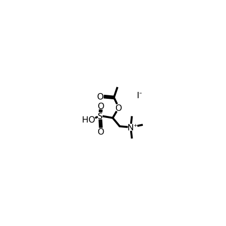 CC(=O)OC(C[N+](C)(C)C)S(=O)(=O)O.[I-]